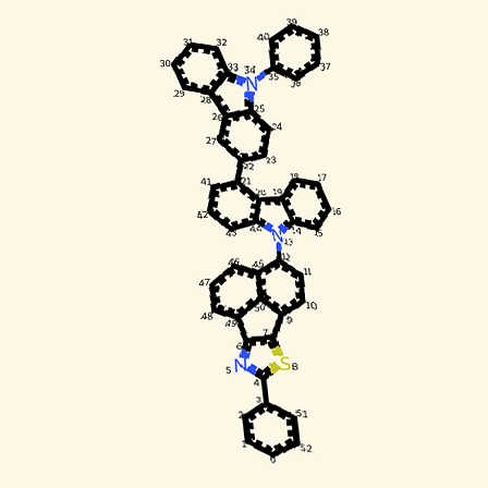 c1ccc(-c2nc3c(s2)-c2ccc(-n4c5ccccc5c5c(-c6ccc7c(c6)c6ccccc6n7-c6ccccc6)cccc54)c4cccc-3c24)cc1